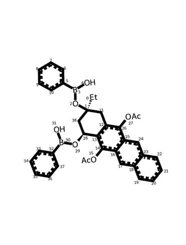 CC[C@]1(OB(O)c2ccccc2)Cc2c(c(OC(C)=O)c3cc4ccccc4cc3c2OC(C)=O)[C@@H](OB(O)c2ccccc2)C1